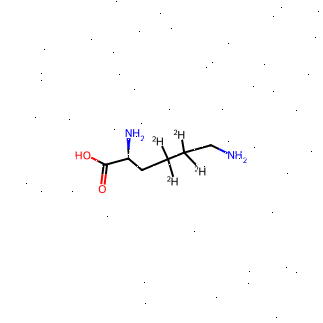 [2H]C([2H])(CN)C([2H])([2H])C[C@H](N)C(=O)O